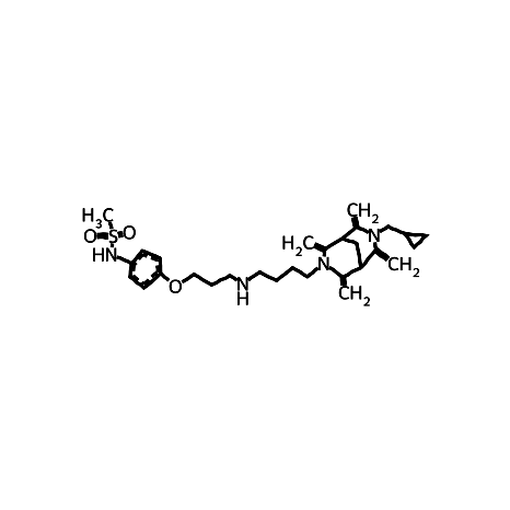 C=C1C2CC(C(=C)N1CCCCNCCCOc1ccc(NS(C)(=O)=O)cc1)C(=C)N(CC1CC1)C2=C